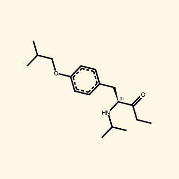 CCC(=O)[C@H](Cc1ccc(OCC(C)C)cc1)NC(C)C